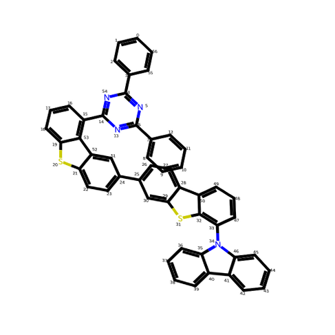 c1ccc(-c2nc(-c3ccccc3)nc(-c3cccc4sc5ccc(-c6ccc7c(c6)sc6c(-n8c9ccccc9c9ccccc98)cccc67)cc5c34)n2)cc1